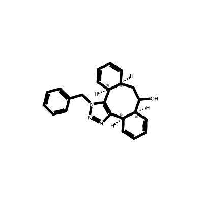 OC1C[C@@H]2C=CC=C[C@@H]2c2c(nnn2Cc2ccccc2)[C@@H]2C=CC=C[C@H]12